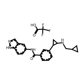 O=C(Nc1ccc2[nH]ncc2c1)c1cccc(C2CC2NCC2CC2)c1.O=C(O)C(F)(F)F